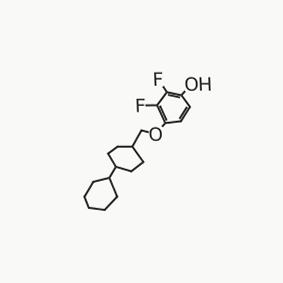 Oc1ccc(OCC2CCC(C3CCCCC3)CC2)c(F)c1F